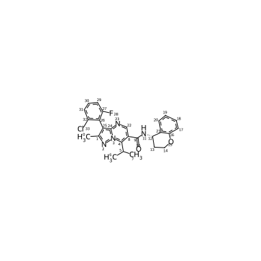 Cc1nn2c(C(C)C)c(C(=O)N[C@H]3CCOc4ccccc43)cnc2c1-c1c(F)cccc1Cl